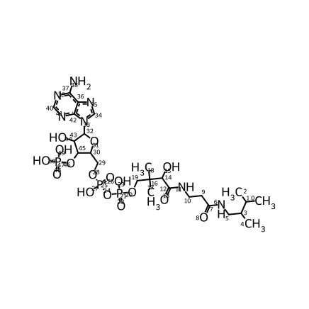 CC(C)C(C)CNC(=O)CCNC(=O)C(O)C(C)(C)COP(=O)(O)OP(=O)(O)OCC1OC(n2cnc3c(N)ncnc32)C(O)C1OP(=O)(O)O